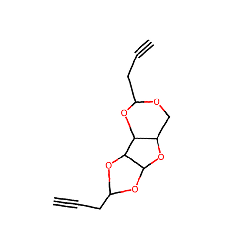 C#CCC1OCC2OC3OC(CC#C)OC3C2O1